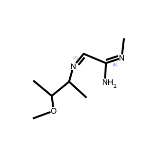 C/N=C(N)\C=N/C(C)C(C)OC